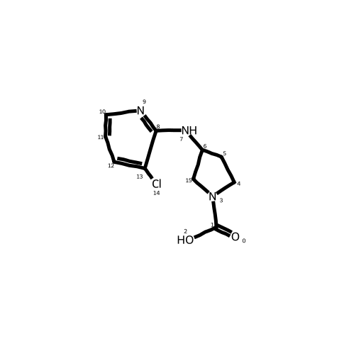 O=C(O)N1CCC(Nc2ncccc2Cl)C1